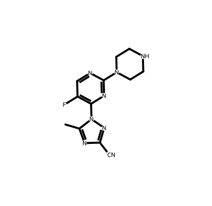 Cc1nc(C#N)nn1-c1nc(N2CCNCC2)ncc1F